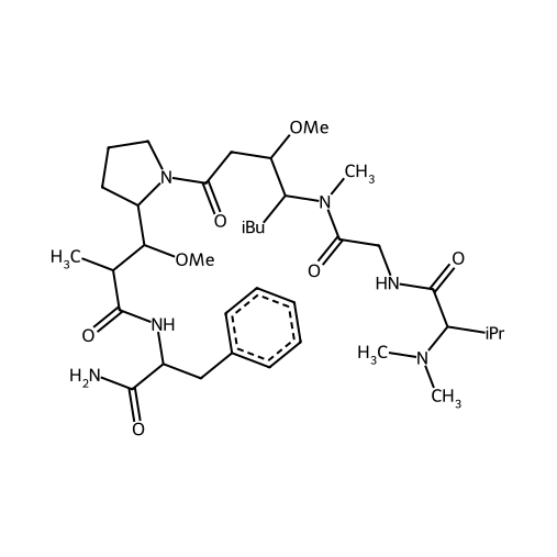 CCC(C)C(C(CC(=O)N1CCCC1C(OC)C(C)C(=O)NC(Cc1ccccc1)C(N)=O)OC)N(C)C(=O)CNC(=O)C(C(C)C)N(C)C